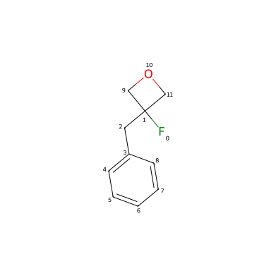 FC1(Cc2ccccc2)COC1